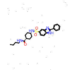 CCCCNC(=O)[C@H]1CC[C@H](NS(=O)(=O)c2ccc3[nH]c(-c4ccccc4)nc3c2)CC1